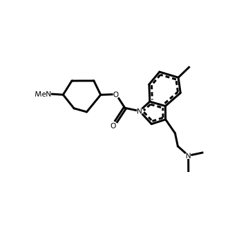 CNC1CCC(OC(=O)n2cc(CCN(C)C)c3cc(C)ccc32)CC1